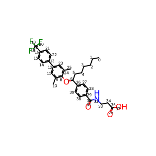 CCCCCCC(Oc1c(C)cc(-c2ccc(C(F)(F)F)cc2)cc1C)c1ccc(C(=O)NCCC(=O)O)cc1